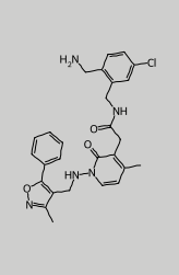 Cc1ccn(NCc2c(C)noc2-c2ccccc2)c(=O)c1CC(=O)NCc1cc(Cl)ccc1CN